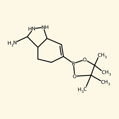 CC1(C)OB(C2=CC3NNC(N)C3CC2)OC1(C)C